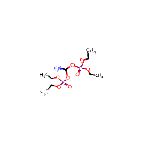 CCOP(=O)(OCC)OC(N)OP(=O)(OCC)OCC